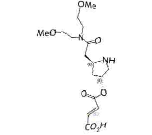 COCCN(CCOC)C(=O)C[C@@H]1C[C@@H](OC(=O)/C=C/C(=O)O)CN1